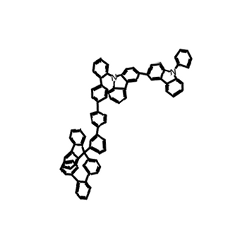 c1ccc(-c2ccccc2-c2cccc(C3(c4cccc(-c5ccc(-c6ccc(-c7ccccc7-n7c8ccccc8c8cc(-c9ccc%10c(c9)c9ccccc9n%10-c9ccccc9)ccc87)cc6)cc5)c4)c4ccccc4-c4ccccc43)c2)cc1